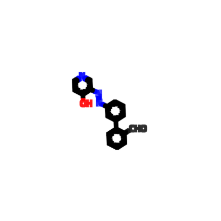 O=Cc1ccccc1-c1cccc(N=Nc2cnccc2O)c1